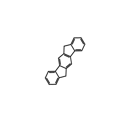 [c]1ccc2c(c1)Cc1cc3c(cc1-2)Cc1c[c]ccc1-3